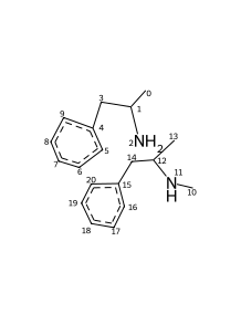 CC(N)Cc1ccccc1.CNC(C)Cc1ccccc1